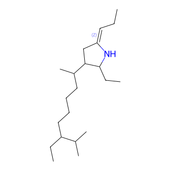 CC/C=C1/CC(C(C)CCCCC(CC)C(C)C)C(CC)N1